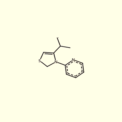 [CH2]C(C)C1=CSCN1c1ccccn1